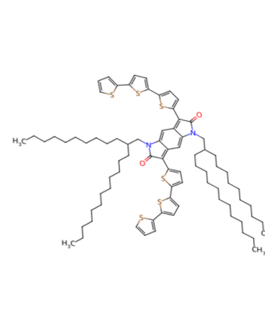 CCCCCCCCCCCCC(CCCCCCCCCC)CN1C(=O)C(c2ccc(-c3ccc(-c4cccs4)s3)s2)=c2cc3c(cc21)=C(c1ccc(-c2ccc(-c4cccs4)s2)s1)C(=O)N3CC(CCCCCCCCCC)CCCCCCCCCCCC